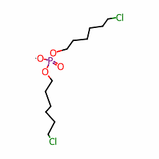 [O]P(=O)(OCCCCCCCl)OCCCCCCCl